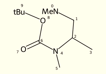 CNCC(C)N(C)C(=O)OC(C)(C)C